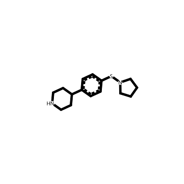 c1cc(C2CCNCC2)ccc1SN1CCCC1